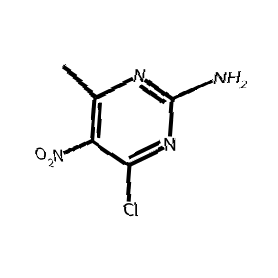 Cc1nc(N)nc(Cl)c1[N+](=O)[O-]